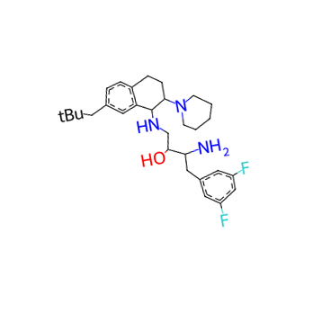 CC(C)(C)Cc1ccc2c(c1)C(NCC(O)C(N)Cc1cc(F)cc(F)c1)C(N1CCCCC1)CC2